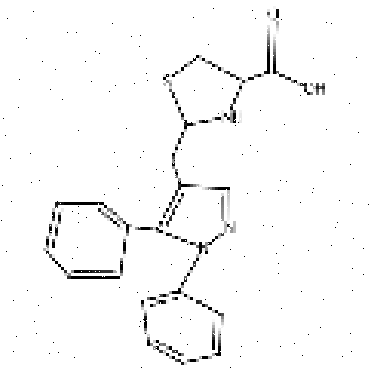 O=C(O)C1CSC(Cc2cnn(-c3ccccc3)c2-c2ccccc2)N1